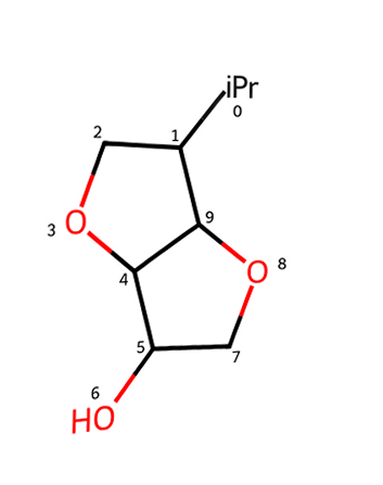 CC(C)C1COC2C(O)COC12